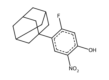 O=[N+]([O-])c1cc(C23CC4CC(CC(C4)C2)C3)c(F)cc1O